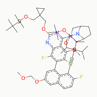 COCOc1cc(-c2c(F)c(OC)c3c(N4CC5CCC(C4)N5C(=O)OC(C)(C)C)nc(OCC4(CO[Si](C)(C)C(C)(C)C)CC4)nc3c2F)c2c(C#C[Si](C(C)C)(C(C)C)C(C)C)c(F)ccc2c1